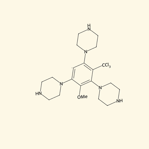 COc1c(N2CCNCC2)[c]c(N2CCNCC2)c(C(Cl)(Cl)Cl)c1N1CCNCC1